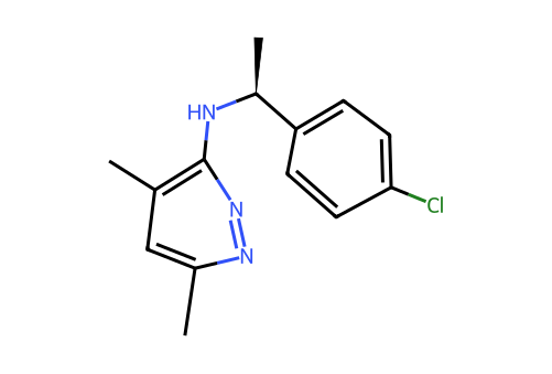 Cc1cc(C)c(N[C@@H](C)c2ccc(Cl)cc2)nn1